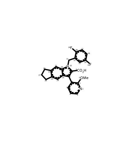 COc1ncccc1-c1c(C(=O)O)n(Cc2cc(F)ccc2F)c2cc3c(cc12)CCC3